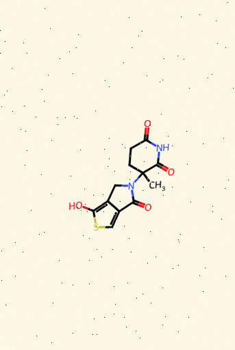 CC1(N2Cc3c(csc3O)C2=O)CCC(=O)NC1=O